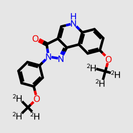 [2H]C([2H])([2H])Oc1cccc(-n2nc3c4cc(OC([2H])([2H])[2H])ccc4[nH]cc-3c2=O)c1